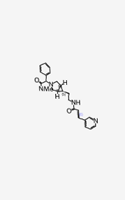 CNC(=O)C(c1ccccc1)N1C[C@@H]2[C@@H](CCNC(=O)/C=C/c3cccnc3)[C@@H]2C1